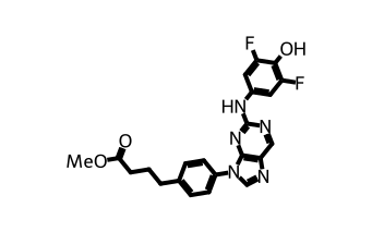 COC(=O)CCCc1ccc(-n2cnc3cnc(Nc4cc(F)c(O)c(F)c4)nc32)cc1